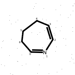 [C]1=NC=CCCC1